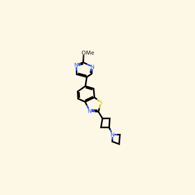 COc1ncc(-c2ccc3nc(C4CC(N5CCC5)C4)sc3c2)cn1